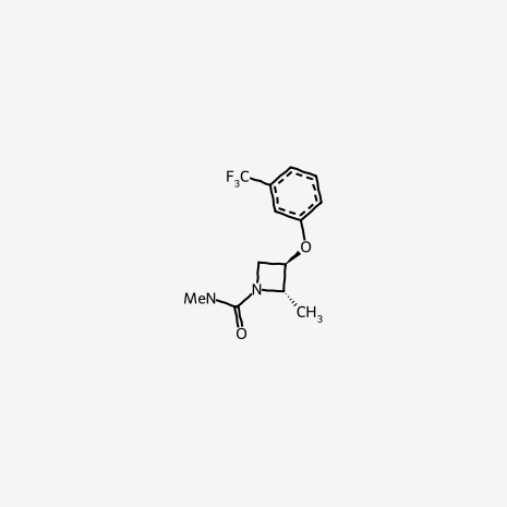 CNC(=O)N1C[C@@H](Oc2cccc(C(F)(F)F)c2)[C@@H]1C